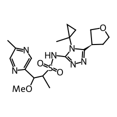 COC(c1cnc(C)cn1)C(C)S(=O)(=O)Nc1nnc([C@@H]2CCOC2)n1C1(C)CC1